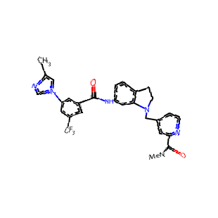 CNC(=O)c1cc(CN2CCc3ccc(NC(=O)c4cc(-n5cnc(C)c5)cc(C(F)(F)F)c4)cc32)ccn1